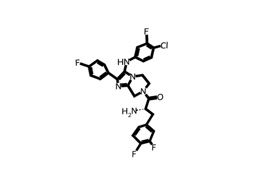 N[C@@H](Cc1ccc(F)c(F)c1)C(=O)N1CCn2c(nc(-c3ccc(F)cc3)c2Nc2ccc(Cl)c(F)c2)C1